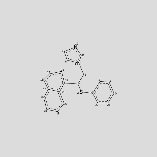 c1ccc(SC(Cn2ccnc2)c2cccc3ccccc23)cc1